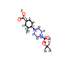 COC(=O)c1ccc(N2CCN(C(=O)OC(C)(C)C)CC2)c(F)c1